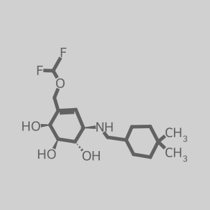 CC1(C)CCC(CN[C@@H]2C=C(COC(F)F)[C@H](O)[C@H](O)[C@H]2O)CC1